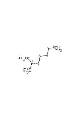 C=CCCCC(N)C(F)(F)F